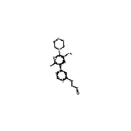 Cc1nc(N2CCOCC2)c(N)cc1-c1ccnc(NCCO)c1